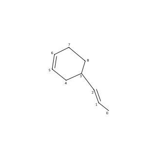 CC=CC1CC=CCC1